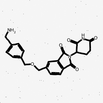 NCc1ccc(COCc2ccc3c(c2)C(=O)N(C2CCC(=O)NC2=O)C3=O)cc1